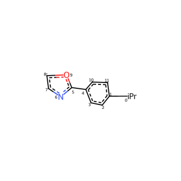 CC(C)c1ccc(-c2nc[c]o2)cc1